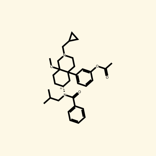 COC12CC[C@@H](N(CC(C)C)C(=O)c3ccccc3)CC1(c1cccc(OC(C)=O)c1)CCN(CC1CC1)C2